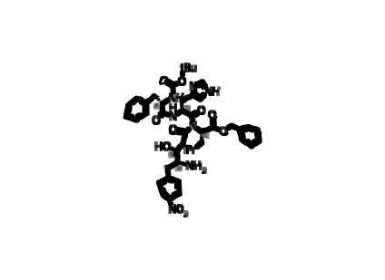 CC(C)C[C@@H](C(=O)OCc1ccccc1)N(C(=O)C[C@H](O)[C@@H](N)Cc1ccc([N+](=O)[O-])cc1)C(=O)[C@H](Cc1c[nH]cn1)NC(=O)[C@H](Cc1ccccc1)NC(=O)OC(C)(C)C